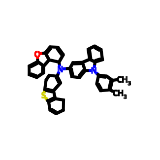 Cc1ccc(-n2c3ccccc3c3cc(N(C4=Cc5c(sc6c5CCC=C6)CC4)C4C=CC=C5Oc6ccccc6C54)ccc32)cc1C